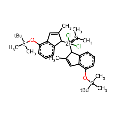 CC1=Cc2c(O[Si](C)(C)C(C)(C)C)cccc2[CH]1[Zr]([Cl])([Cl])([CH]1C(C)=Cc2c(O[Si](C)(C)C(C)(C)C)cccc21)=[Si](C)C